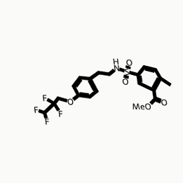 COC(=O)c1cc(S(=O)(=O)NCCc2ccc(OCC(F)(F)C(F)F)cc2)ccc1C